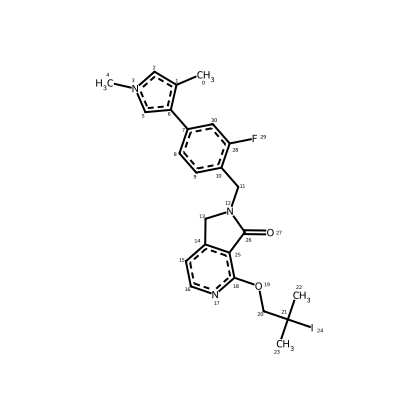 Cc1cn(C)cc1-c1ccc(CN2Cc3ccnc(OCC(C)(C)I)c3C2=O)c(F)c1